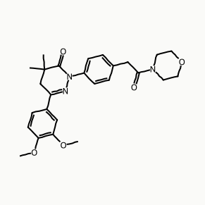 COc1ccc(C2=NN(c3ccc(CC(=O)N4CCOCC4)cc3)C(=O)C(C)(C)C2)cc1OC